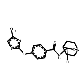 Cc1csc(Oc2ccc(C(=O)N[C@H]3CN4CCC3CC4)cc2)n1